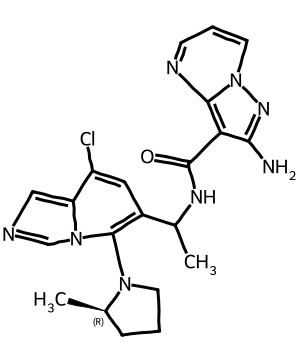 CC(NC(=O)c1c(N)nn2cccnc12)c1cc(Cl)c2cncn2c1N1CCC[C@H]1C